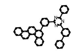 c1ccc(-c2cccc(-c3nc(-c4ccccc4)nc(-c4cccc(-c5cc6ccccc6c6c5ccc5c7ccccc7ccc56)c4)n3)c2)cc1